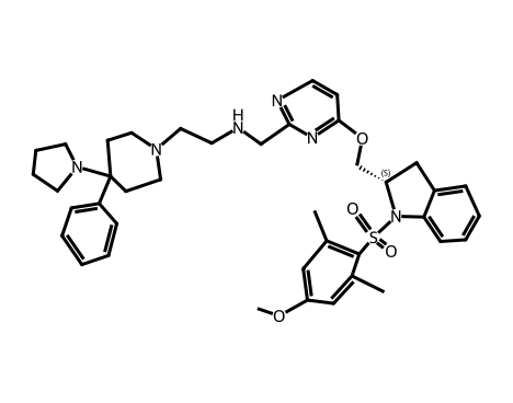 COc1cc(C)c(S(=O)(=O)N2c3ccccc3C[C@H]2COc2ccnc(CNCCN3CCC(c4ccccc4)(N4CCCC4)CC3)n2)c(C)c1